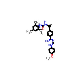 Cc1cc(C)c(NC(=O)NC2C=C2c2ccc(C(=N)/N=C\Nc3ccc(OC(F)(F)F)cc3)cc2)c(C)c1